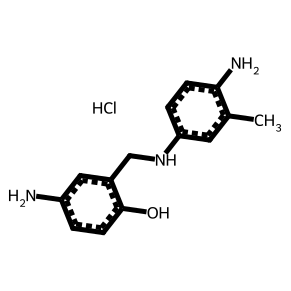 Cc1cc(NCc2cc(N)ccc2O)ccc1N.Cl